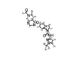 CC(=O)N1Cc2ncnc(Oc3ccc4c(ccn4C(=O)Nc4cc(C)n(C(C)(C)C)n4)c3)c2C[C@@H]1C